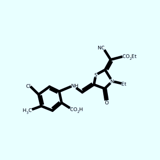 CCOC(=O)C(C#N)=c1sc(=CNc2cc(Cl)c(C)cc2C(=O)O)c(=O)n1CC